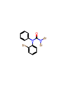 O=C(N(Br)Br)N(c1ccccc1)c1ccccc1Br